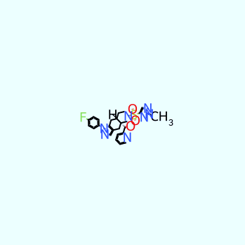 Cn1ncc(S(=O)(=O)N2CC[C@H]3Cc4c(cnn4-c4ccc(F)cc4)C[C@]3(C(=O)c3ccccn3)C2)n1